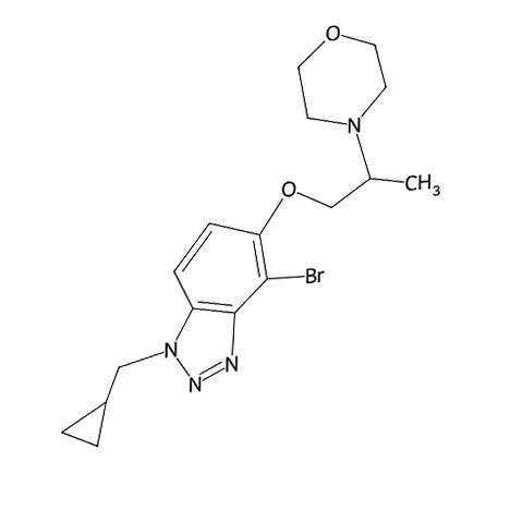 CC(COc1ccc2c(nnn2CC2CC2)c1Br)N1CCOCC1